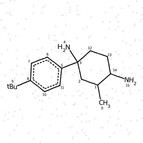 CC1CC(N)(c2ccc(C(C)(C)C)cc2)CCC1N